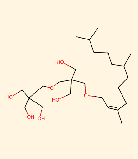 CC(=CCOCC(CO)(CO)COCC(CO)(CO)CO)CCCC(C)CCCC(C)C